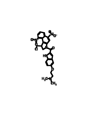 CN(C)CCOc1ccc2[nH]c(C(=O)N3CC(CCl)c4c3cc([N+](=O)[O-])c3cccc([N+](=O)[O-])c43)cc2c1